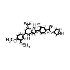 COc1ccc(C2CC(C(F)F)n3nc(-c4ccc(C(=O)N[C@H]5CCNC5)cc4C)cc3N2)cc1OC